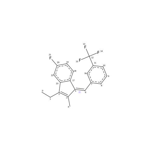 CCC1=C(C)/C(=C/c2cccc(C(F)(F)F)c2)c2ccc(F)cc21